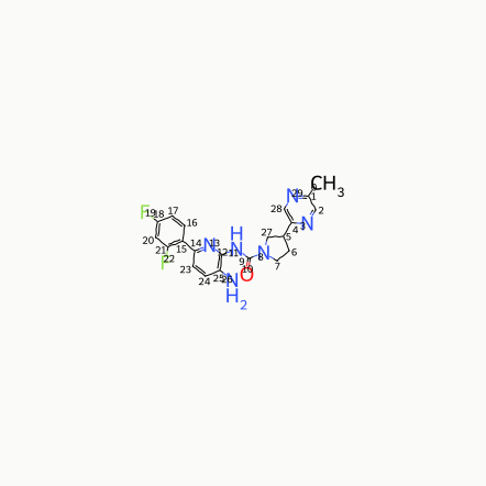 Cc1cnc(C2CCN(C(=O)Nc3nc(-c4ccc(F)cc4F)ccc3N)C2)cn1